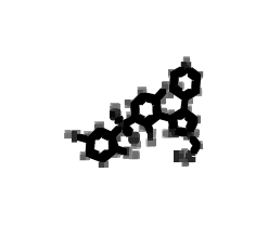 CCn1cc(-c2ccncc2)c(-c2c(F)[c]cc(S(=O)(=O)c3cc(F)ccc3F)c2F)n1